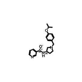 CC(C)Oc1ccc(CN2CC[C@@H](N[S@@+]([O-])c3cccnc3)C2)cc1